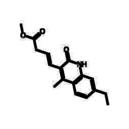 CCc1ccc2c(C)c(C=CCC(=O)OC)c(=O)[nH]c2c1